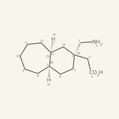 NC[C@]1(CC(=O)O)CC[C@H]2CCCCC[C@H]2C1